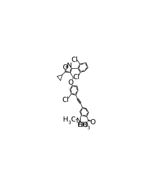 CN(C)c1cc(C#Cc2ccc(OCc3c(-c4c(Cl)cccc4Cl)noc3C3CC3)cc2Cl)ccc1C(=O)O